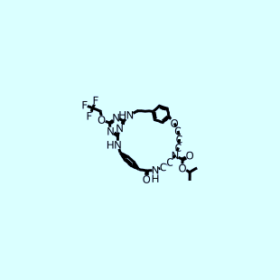 CC(C)OC(=O)N1CCCOc2ccc(cc2)CNc2nc(nc(OCC(F)(F)F)n2)Nc2ccc(cc2)C(=O)NCC1